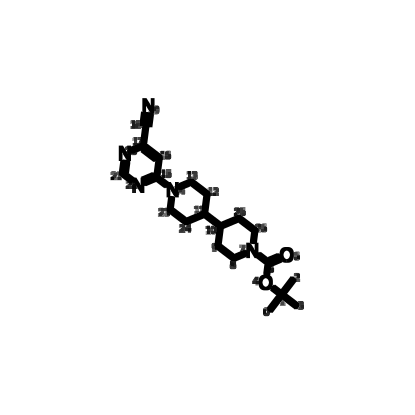 CC(C)(C)OC(=O)N1CCC(C2CCN(c3cc(C#N)ncn3)CC2)CC1